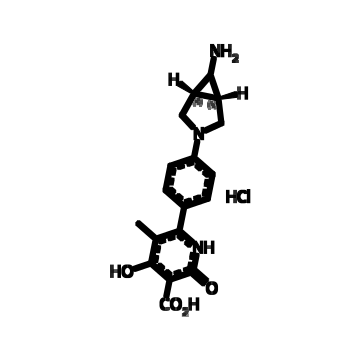 Cc1c(-c2ccc(N3C[C@@H]4C(N)[C@@H]4C3)cc2)[nH]c(=O)c(C(=O)O)c1O.Cl